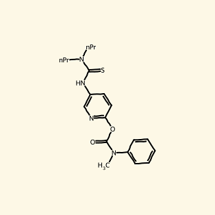 CCCN(CCC)C(=S)Nc1ccc(OC(=O)N(C)c2ccccc2)nc1